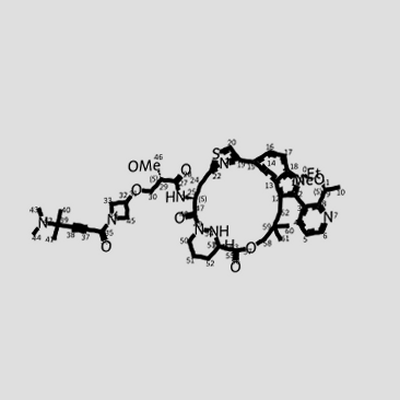 CCn1c(-c2cccnc2[C@H](C)OC)c2c3cc(ccc31)-c1csc(n1)C[C@H](NC(=O)[C@H](COC1CN(C(=O)C#CC(C)(C)N(C)C)C1)OC)C(=O)N1CCC[C@H](N1)C(=O)OCC(C)(C)C2